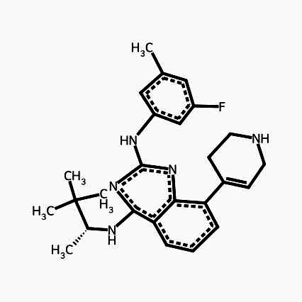 Cc1cc(F)cc(Nc2nc(N[C@H](C)C(C)(C)C)c3cccc(C4=CCNCC4)c3n2)c1